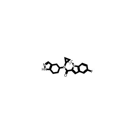 Cn1c(C(=O)N(C2CC2)C2CCc3[nH]ncc3C2)cc2cc(F)ccc21